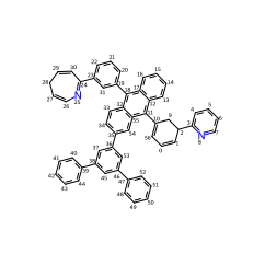 C1=CC(c2ccccn2)CC(c2c3ccccc3c(-c3cccc(C4=NC=CCC=C4)c3)c3ccc(-c4cc(-c5ccccc5)cc(-c5ccccc5)c4)cc23)=C1